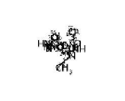 CCCCCc1nc2[nH]c(=O)n(CCc3ccccc3)c(=O)c2n1Cc1ccc(-c2ccccc2-c2nnn[nH]2)cc1